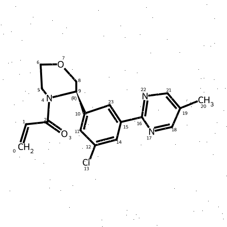 C=CC(=O)N1CCOC[C@H]1c1cc(Cl)cc(-c2ncc(C)cn2)c1